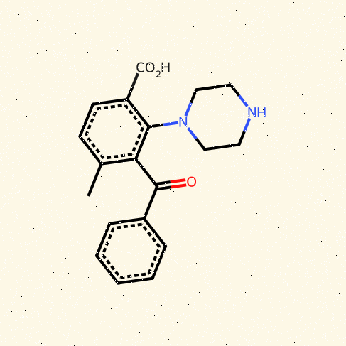 Cc1ccc(C(=O)O)c(N2CCNCC2)c1C(=O)c1ccccc1